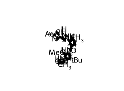 COc1c(NC(=O)c2ccc(C)c(N3C=C(c4cnc(C(C)=O)n4C)NN3)c2)cc(C(C)(C)C)cc1NS(C)(=O)=O